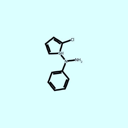 NN(c1ccccc1)[SH]1C=CC=C1Cl